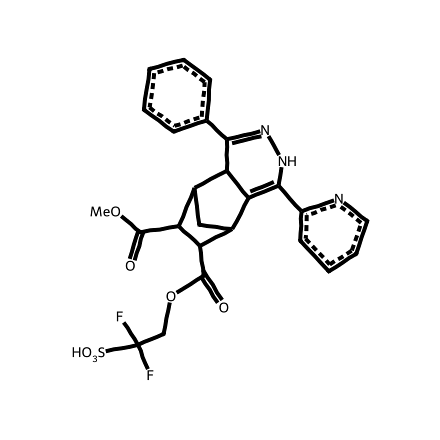 COC(=O)C1C2CC(C3=C(c4ccccn4)NN=C(c4ccccc4)C32)C1C(=O)OCC(F)(F)S(=O)(=O)O